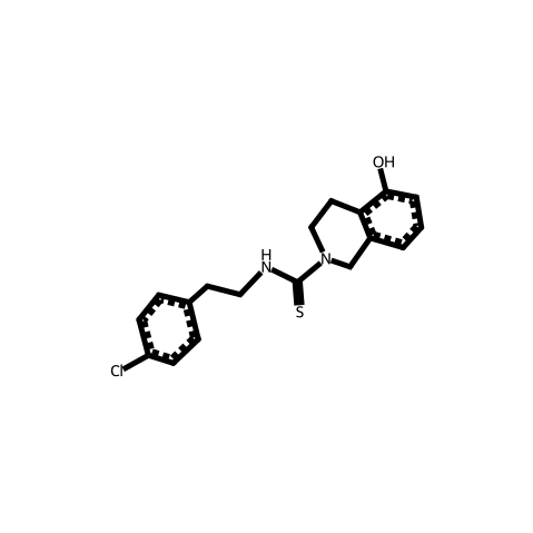 Oc1cccc2c1CCN(C(=S)NCCc1ccc(Cl)cc1)C2